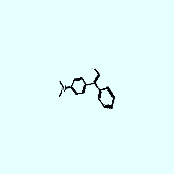 [CH2]C=C(c1ccccc1)c1ccc(N(C)C)cc1